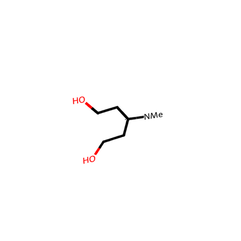 CN[C](CCO)CCO